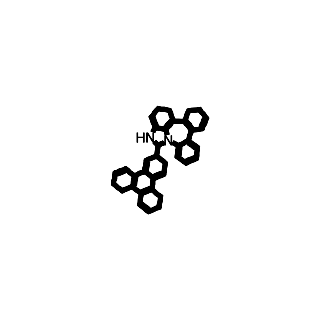 C1=CC2=C(CC1)C1=C3C(=CCC1)NC(C1C=c4c5c(c6c(c4=CC1)CCC=C6)CCC=C5)N3c1ccccc12